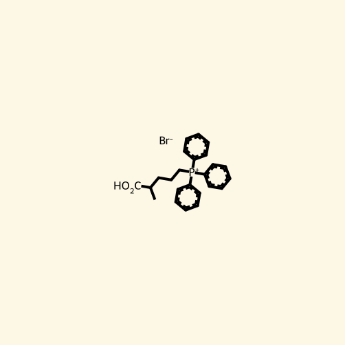 CC(CCC[P+](c1ccccc1)(c1ccccc1)c1ccccc1)C(=O)O.[Br-]